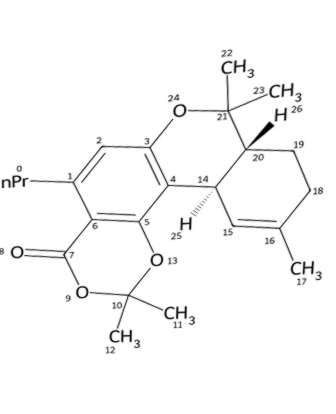 CCCc1cc2c(c3c1C(=O)OC(C)(C)O3)[C@@H]1C=C(C)CC[C@H]1C(C)(C)O2